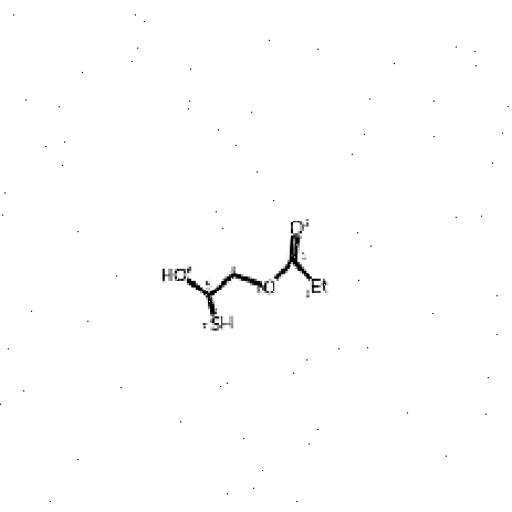 CCC(=O)OCC(O)S